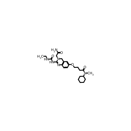 CCNC(=O)NC1=Nc2ccc(OCCCC(=O)N(C)C3CCCCC3)cc2CN1CC(N)=O